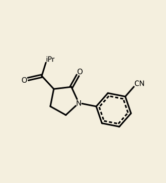 CC(C)C(=O)C1CCN(c2cccc(C#N)c2)C1=O